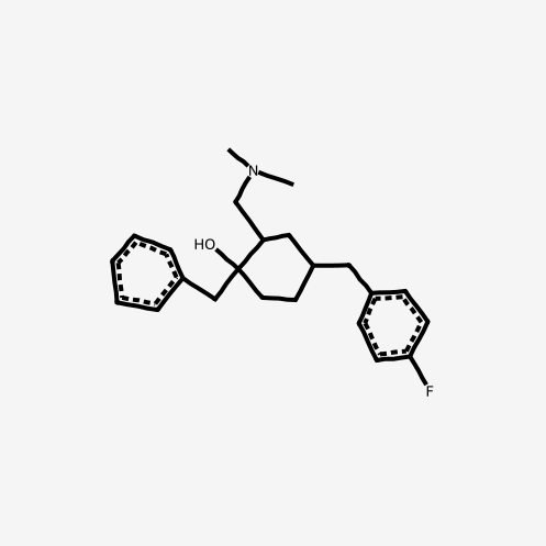 CN(C)CC1CC(Cc2ccc(F)cc2)CCC1(O)Cc1ccccc1